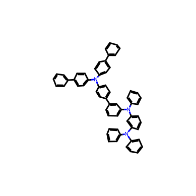 c1ccc(-c2ccc(N(c3ccc(-c4ccccc4)cc3)c3ccc(-c4cccc(N(c5ccccc5)c5cccc(N(c6ccccc6)c6ccccc6)c5)c4)cc3)cc2)cc1